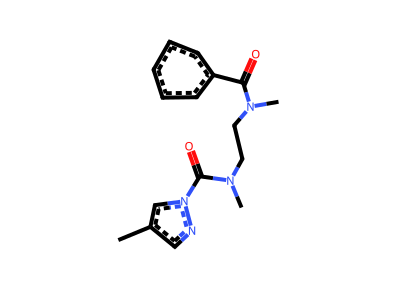 Cc1cnn(C(=O)N(C)CCN(C)C(=O)c2ccccc2)c1